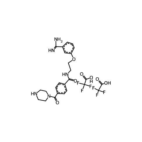 N=C(N)c1cccc(OCCNC(=O)c2ccc(C(=O)N3CCNCC3)cc2)c1.O=C(O)C(F)(F)F.O=C(O)C(F)(F)F